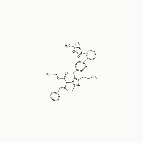 CCCc1nc2c(n1Cc1ccc(-c3ccccc3C(=O)OC(C)(C)C)cc1)C(C(=O)OCC)N(Cc1ccccc1)CC2